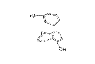 Nc1ccccc1.Oc1cccc2ccccc12